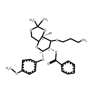 CCCCOC1[C@@H]2OC(C)(C)OCC2O[C@@H](Oc2ccc(OC)cc2)[C@H]1OC(=O)c1ccccc1